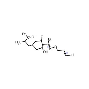 CC/C(=N\OC/C=C/Cl)C1=C(O)CC(CC(C)[S+]([O-])CC)CC1=O